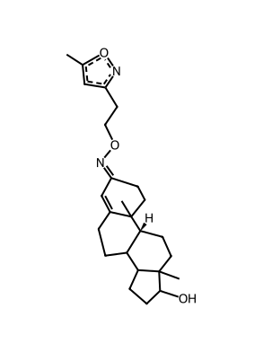 Cc1cc(CCON=C2C=C3CCC4C5CCC(O)C5(C)CC[C@H]4C3(C)CC2)no1